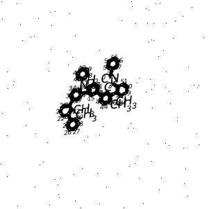 C=C(/N=C(\C)C1=C(c2cc(-c3ccc4c(c3)c3cc(C5=CCCC(c6ccccc6C)=C5C)ccc3n4-c3ccccc3)ccc2C)C(C)CC=C1)c1ccccc1